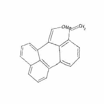 C=Cc1cccc2c1/c(=C\OC)c1cccc3cccc2c31